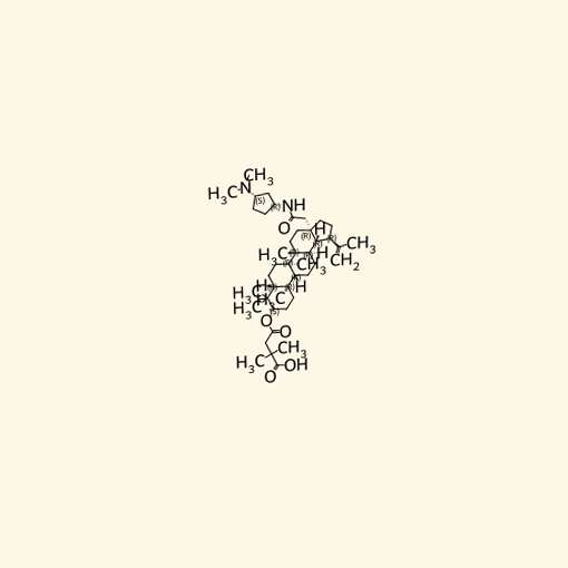 C=C(C)[C@@H]1CC[C@]2(CC(=O)N[C@@H]3CC[C@H](N(C)C)C3)CC[C@]3(C)[C@H](CC[C@@H]4[C@@]5(C)CC[C@H](OC(=O)CC(C)(C)C(=O)O)C(C)(C)[C@@H]5CC[C@]43C)[C@@H]12